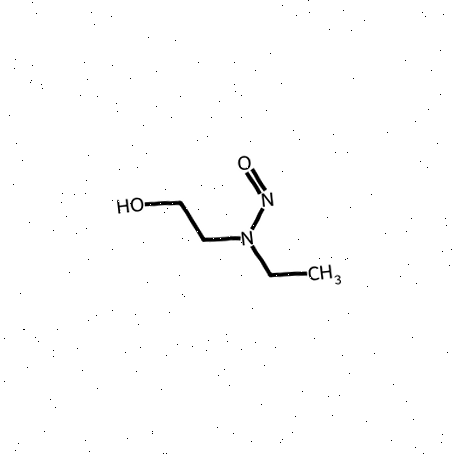 CCN(CCO)N=O